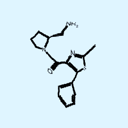 Cc1nc(C(=O)N2CCC[C@H]2CN)c(-c2ccccc2)s1